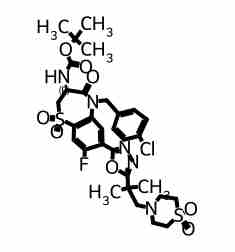 CC(C)(C)OC(=O)N[C@H]1CS(=O)(=O)c2cc(F)c(-c3nnc(C(C)(C)CN4CCS(=O)(=O)CC4)o3)cc2N(Cc2ccc(Cl)cc2)C1=O